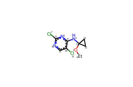 CCOC1(Nc2nc(Cl)ncc2Cl)CC1